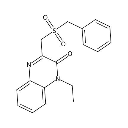 CCn1c(=O)c(CS(=O)(=O)Cc2ccccc2)nc2ccccc21